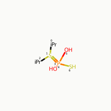 CC(C)S(C(C)C)=P(O)(O)S